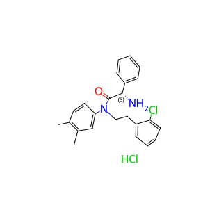 Cc1ccc(N(CCc2ccccc2Cl)C(=O)[C@@H](N)c2ccccc2)cc1C.Cl